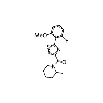 COc1cccc(F)c1-c1nc(C(=O)N2CCCCC2C)cs1